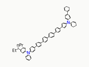 CCCC(CC)c1ccc(N(c2ccccc2)c2ccc(-c3ccc(-c4ccc(-c5ccc(-c6ccc(-c7ccc(N(C8=CCCC=C8)c8ccc(C9=CCCC=C9)cc8)cc7)cc6)cc5)cc4)cc3)cc2)cc1